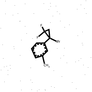 Cc1cccc(C2(C(C)C)CC2(F)F)c1